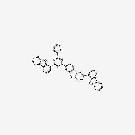 C1=CC2Oc3cc(-c4nc(-c5ccccc5)nc(-c5cccc6c5oc5ccccc56)n4)ccc3C2C=C1c1cccc2c1oc1ccccc12